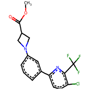 COC(=O)C1CN(c2cccc(-c3ccc(Cl)c(C(F)(F)F)n3)c2)C1